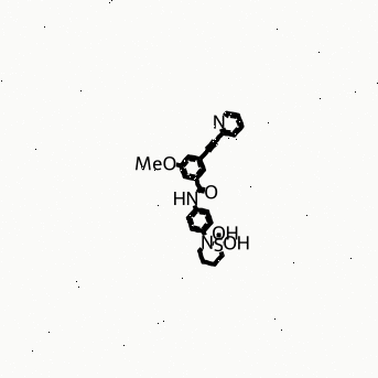 COc1cc(C#Cc2ccccn2)cc(C(=O)Nc2ccc(N3CCCCS3(O)O)cc2)c1